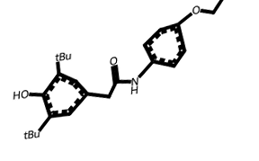 CC(C)(C)COc1ccc(NC(=O)Cc2cc(C(C)(C)C)c(O)c(C(C)(C)C)c2)cc1